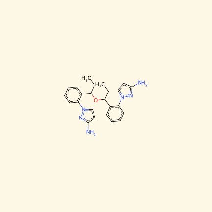 CCC(OC(CC)c1ccccc1-n1ccc(N)n1)c1ccccc1-n1ccc(N)n1